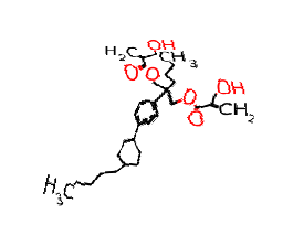 C=C(CO)C(=O)OCC(CCCC)(COC(=O)C(=C)CO)c1ccc(C2CCC(CCCCC)CC2)cc1